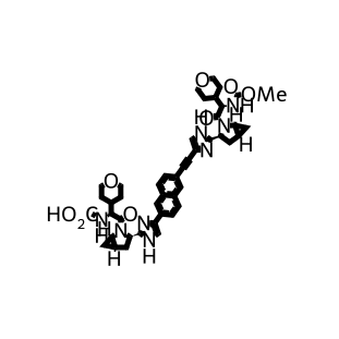 COC(=O)N[C@H](C(=O)N1[C@@H]2C[C@H]2C[C@H]1c1nc(C#Cc2ccc3cc(-c4c[nH]c([C@@H]5C[C@H]6C[C@H]6N5C(=O)[C@@H](NC(=O)O)C5CCOCC5)n4)ccc3c2)c[nH]1)C1CCOCC1